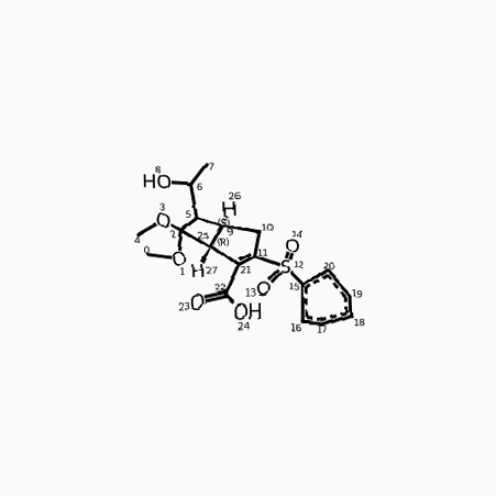 COC1(OC)C(C(C)O)[C@H]2CC(S(=O)(=O)c3ccccc3)=C(C(=O)O)[C@@H]21